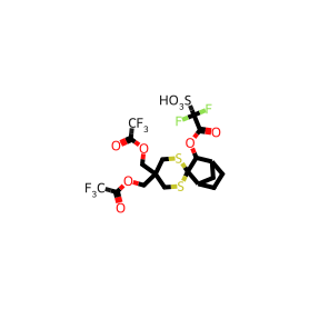 O=C(OCC1(COC(=O)C(F)(F)F)CSC2(SC1)C1CCC(C1)C2OC(=O)C(F)(F)S(=O)(=O)O)C(F)(F)F